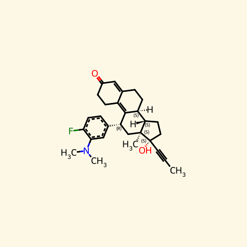 CC#C[C@]1(O)CC[C@H]2[C@@H]3CCC4=CC(=O)CCC4=C3[C@@H](c3ccc(F)c(N(C)C)c3)C[C@@]21C